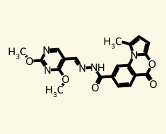 COc1ncc(/C=N/NC(=O)c2ccc3c(=O)oc4ccc(C)n4c3c2)c(OC)n1